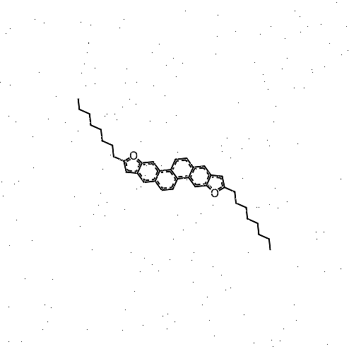 CCCCCCCCc1cc2cc3ccc4c5cc6oc(CCCCCCCC)cc6cc5ccc4c3cc2o1